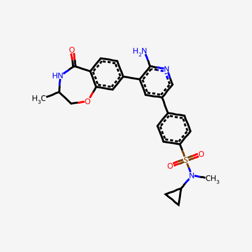 CC1COc2cc(-c3cc(-c4ccc(S(=O)(=O)N(C)C5CC5)cc4)cnc3N)ccc2C(=O)N1